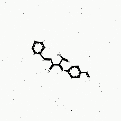 O=Cc1ccc(C=C(C(=O)O)C(=O)C=Cc2ccccc2)cc1